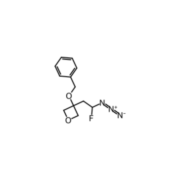 [N-]=[N+]=NC(F)CC1(OCc2ccccc2)COC1